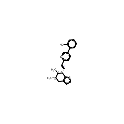 C[C@H]1[C@H](/C=C/c2ccc(-c3ccccc3C#N)cn2)c2sccc2C[C@@H]1C